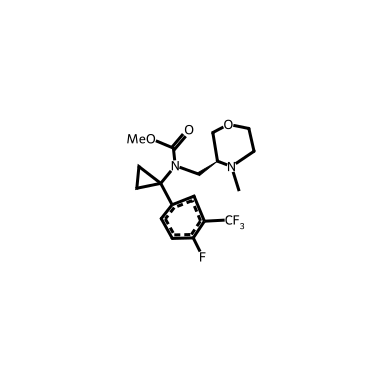 COC(=O)N(C[C@H]1COCCN1C)C1(c2ccc(F)c(C(F)(F)F)c2)CC1